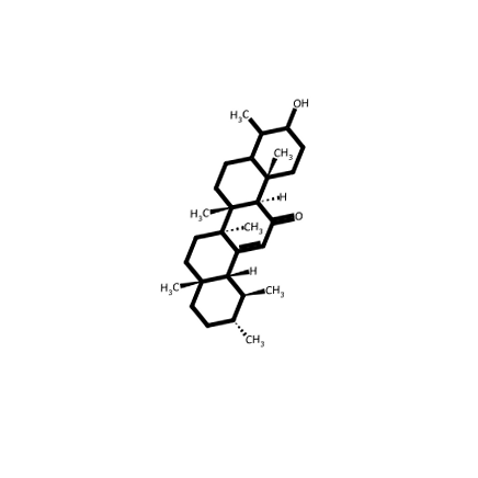 CC1C(O)CC[C@@]2(C)C1CC[C@]1(C)[C@@H]2C(=O)C=C2[C@@H]3[C@@H](C)[C@H](C)CC[C@]3(C)CC[C@]21C